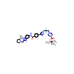 C[C@H]1CCCN1Cc1nc2cc(NC(=O)c3ccc(-c4cn(CC(F)(F)CN5CCN(C(=O)OC(C)(C)C)CC5)nn4)cc3)ccc2[nH]1